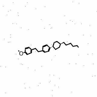 CCCCCC[C@H]1CC[C@H](c2ccc(CCc3ccc(OC)cc3)cc2)CC1